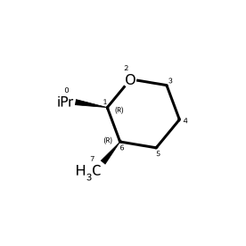 CC(C)[C@H]1OCCC[C@H]1C